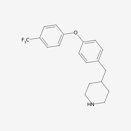 FC(F)(F)c1ccc(Oc2ccc(CC3CCNCC3)cc2)cc1